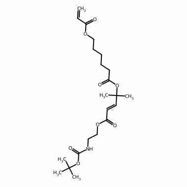 C=CC(=O)OCCCCCC(=O)OC(C)(C)/C=C/C(=O)OCCNC(=O)OC(C)(C)C